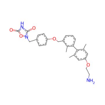 Cc1cc(OCCN)cc(C)c1-c1cccc(COc2ccc(Cn3oc(=O)[nH]c3=O)cc2)c1C